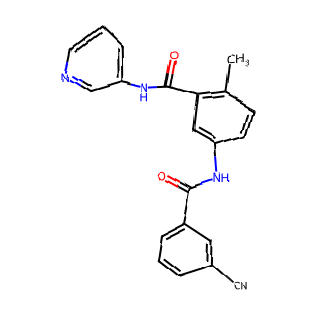 Cc1ccc(NC(=O)c2cccc(C#N)c2)cc1C(=O)Nc1cccnc1